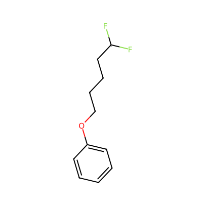 F[C](F)CCCCOc1ccccc1